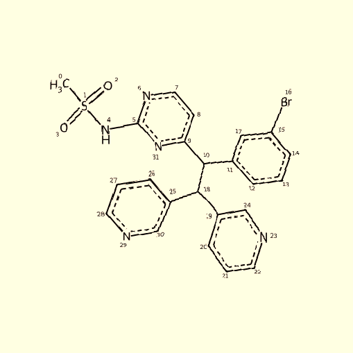 CS(=O)(=O)Nc1nccc(C(c2cccc(Br)c2)C(c2cccnc2)c2cccnc2)n1